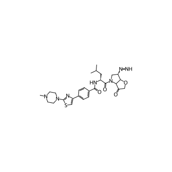 CC(C)C[C@H](NC(=O)c1ccc(-c2csc(N3CCN(C)CC3)n2)cc1)C(=O)N1C[C@@H](N=N)C2OCC(=O)C21